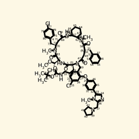 COC[C@@H]1NC(=O)[C@H](CCCNC(=O)OC(C)(C)C)N(Cc2ccc(Cl)cc2Oc2ccc(-c3cnc(CN4CCCC4)n3C)cc2)C(=O)C[C@@H](Cc2ccccc2)C(=O)N(C)[C@H]2CCCC[C@@H]2NC(=O)C[C@H](Cc2ccc(Cl)cc2)N(C)C1=O